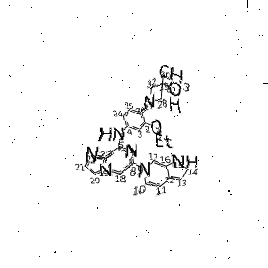 CCOc1cc(Nc2nc(N3C=CC4=CCNC4=C3)cn3ccnc23)ccc1N1CC(C)(O)C1